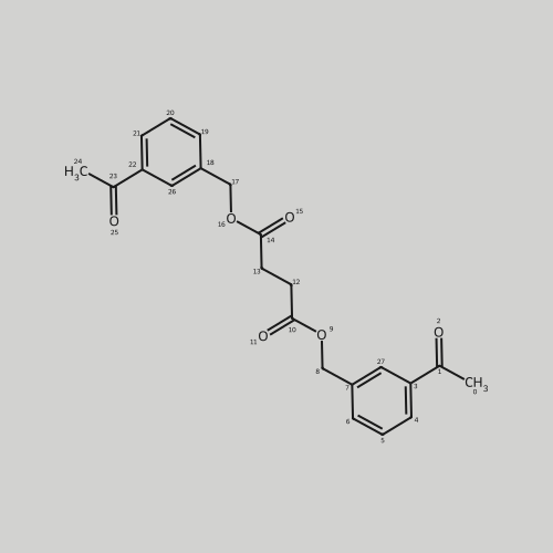 CC(=O)c1cccc(COC(=O)CCC(=O)OCc2cccc(C(C)=O)c2)c1